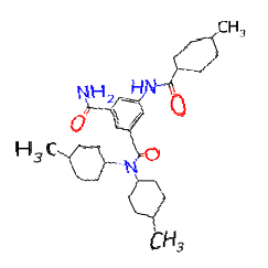 CC1CCC(C(=O)Nc2cc(C(N)=O)cc(C(=O)N(C3CCC(C)CC3)C3CCC(C)CC3)c2)CC1